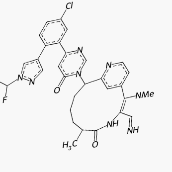 CN/C1=C(\C=N)NC(=O)C(C)CCCC(n2cnc(-c3cc(Cl)ccc3-c3cnn(C(F)F)c3)cc2=O)c2cc1ccn2